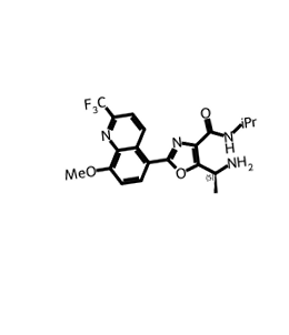 COc1ccc(-c2nc(C(=O)NC(C)C)c([C@H](C)N)o2)c2ccc(C(F)(F)F)nc12